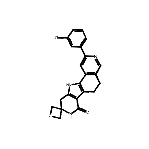 O=C1NC2(COC2)Cc2[nH]c3c(c21)CCc1cnc(-c2cccc(Cl)c2)cc1-3